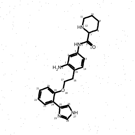 Nc1cc(NC(=O)C2CCCCN2)ccc1CCOc1ccccc1-c1c[nH]cn1